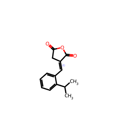 CC(C)c1ccccc1/C=C1\CC(=O)OC1=O